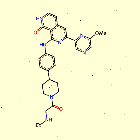 CCNCC(=O)N1CCC(c2ccc(Nc3nc(-c4cncc(OC)n4)cc4cc[nH]c(=O)c34)cc2)CC1